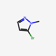 Cn1n[c]cc1Br